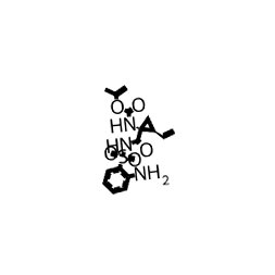 C=C[C@@H]1C[C@]1(NC(=O)OC(=C)C)C(=O)NS(=O)(=O)c1ccccc1N